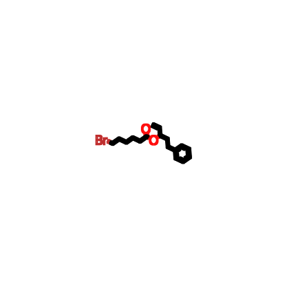 C=CC(CCc1ccccc1)OC(=O)CCCCCBr